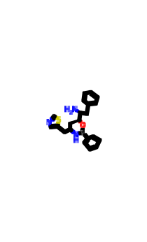 N[C@@H](Cc1ccccc1)[C@@H]1CC(Cc2cncs2)NB(c2ccccc2)O1